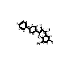 Cc1cc(C(C)C)c2oc(C3=CCC(c4ccccc4)CC3)c(C)c(=O)c2c1